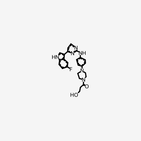 O=C(CCO)N1CCN(c2ccc(Nc3nccc(-c4c[nH]c5ccc(F)cc45)n3)cc2)CC1